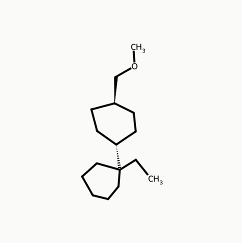 CCC1([C@H]2CC[C@H](COC)CC2)CCCCC1